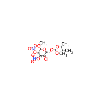 CO[C@H]1O[C@H](COC(=O)OC(C)C(C)C)[C@@H](O)[C@H](O[N+](=O)[O-])[C@H]1O[N+](=O)[O-]